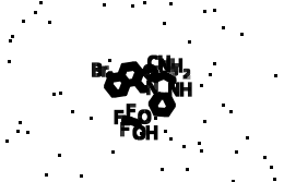 COc1ccc2c(Br)cccc2c1CN1C(=O)[C@@H](N)CNc2ccccc21.O=C(O)C(F)(F)F